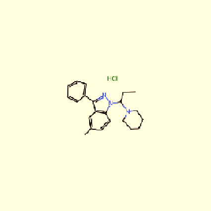 CCC(N1CCCCC1)n1nc(-c2ccccc2)c2cc(C)ccc21.Cl